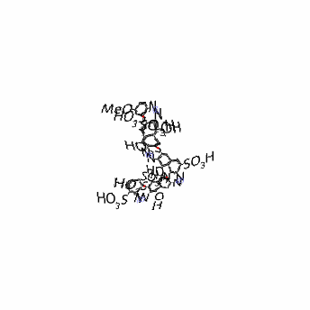 COc1ccc(/N=N\c2c(S(=O)(=O)O)cc3cc(/N=N\c4c(S(=O)(=O)O)cc5cc(S(=O)(=O)O)c(/N=N\c6ccc7cc(S(=O)(=O)O)c(/N=N\c8cc(S(=O)(=O)O)ccc8S(=O)(=O)O)c(O)c7c6)c(N)c5c4O)ccc3c2O)c(S(=O)(=O)O)c1